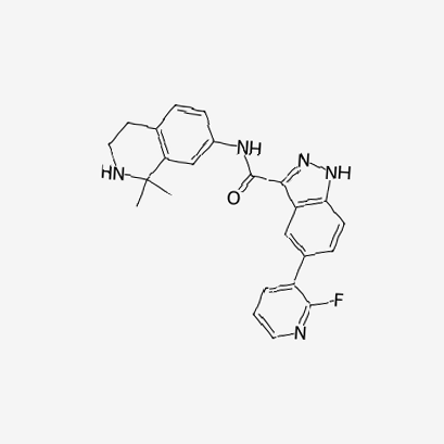 CC1(C)NCCc2ccc(NC(=O)c3n[nH]c4ccc(-c5cccnc5F)cc34)cc21